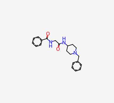 O=C(CNC(=O)c1ccccc1)NC1CCN(Cc2ccccc2)CC1